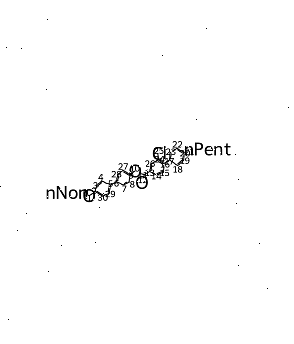 CCCCCCCCCOc1ccc(-c2ccc(OC(=O)c3ccc(-c4ccc(CCCCC)cc4)c(Cl)c3)cc2)cc1